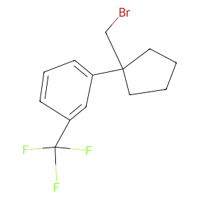 FC(F)(F)c1cccc(C2(CBr)CCCC2)c1